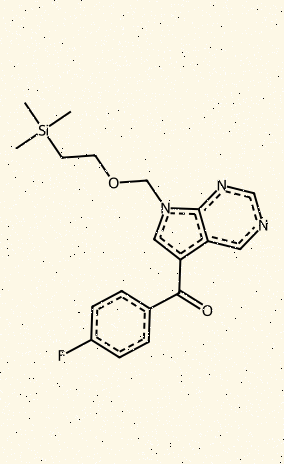 C[Si](C)(C)CCOCn1cc(C(=O)c2ccc(F)cc2)c2cncnc21